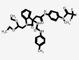 CCOC(CN1C(=O)C(CC(=O)Nc2ccc(N(C)C(=O)C(F)(F)F)cc2)(NC(=O)Nc2ccc(C)cc2)c2ccccc21)OCC